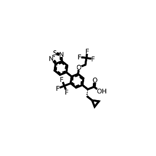 O=C(O)[C@H](CC1CC1)c1cc(OCC(F)(F)F)c(-c2ccc3nsnc3c2)c(C(F)(F)F)c1